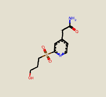 NC(=O)[CH]c1ccnc(S(=O)(=O)CCCO)c1